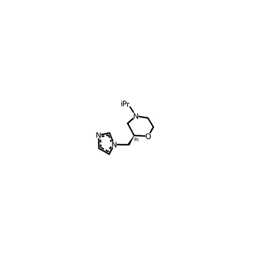 CC(C)N1CCO[C@@H](Cn2ccnc2)C1